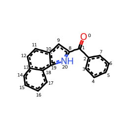 O=C(c1ccccc1)c1cc2ccc3ccccc3c2[nH]1